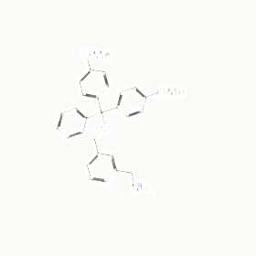 COc1ccc(C(OCc2cccc(CN)c2)(c2ccccc2)c2ccc(OC)cc2)cc1